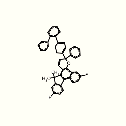 CC1(C)c2cc(F)ccc2-c2c1c1c(c3cc(F)ccc23)OC(C2=CC=C(c3ccccc3-c3ccccc3)CC2)(c2ccccc2)C=C1